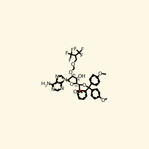 COc1ccc(C(OC(C(C)=O)[C@H]2O[C@@H](n3cnc4c(N)ncnc43)[C@H](OCOCC(C(F)(F)F)C(F)(F)F)[C@@H]2O)(c2ccccc2)c2ccc(OC)cc2)cc1